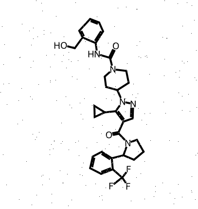 O=C(Nc1ccccc1CO)N1CCC(n2ncc(C(=O)N3CCCC3c3ccccc3C(F)(F)F)c2C2CC2)CC1